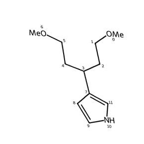 COCCC(CCOC)c1cc[nH]c1